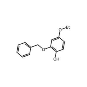 CCOc1ccc(O)c(OCc2ccccc2)c1